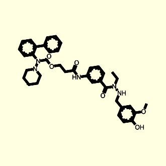 CCN(NCc1ccc(O)c(OC)c1)C(=O)c1cccc(NC(=O)CCOC(=O)N(c2ccccc2-c2ccccc2)N2CC[CH]CC2)c1